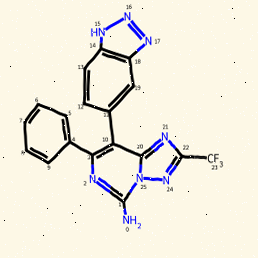 Nc1nc(-c2ccccc2)c(-c2ccc3[nH]nnc3c2)c2nc(C(F)(F)F)nn12